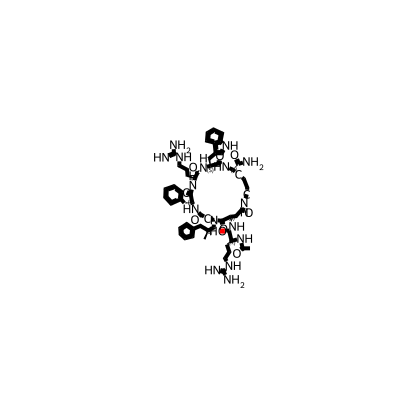 CC(=O)N[C@H](CCCNC(=N)N)C(O)N[C@H]1CC(=O)NCCCC[C@@H](C(N)=O)NC(=O)[C@H](Cc2c[nH]c3ccccc23)NC(=O)[C@H](CCCNC(=N)N)NC(=O)[C@@H](Cc2ccccc2)NC(=O)CN(C[C@@H](C)Cc2ccccc2)C1=O